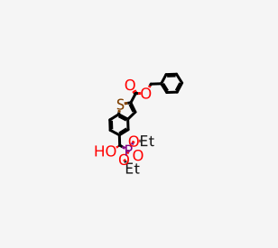 CCOP(=O)(OCC)[C@@H](O)c1ccc2sc(C(=O)OCc3ccccc3)cc2c1